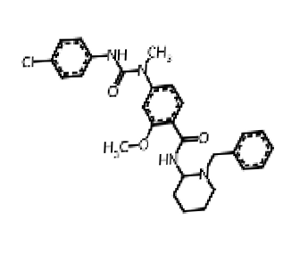 COc1cc(N(C)C(=O)Nc2ccc(Cl)cc2)ccc1C(=O)NC1CCCCN1Cc1ccccc1